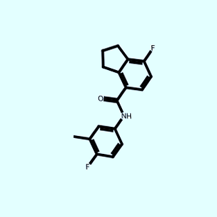 Cc1cc(NC(=O)c2ccc(F)c3c2CCC3)ccc1F